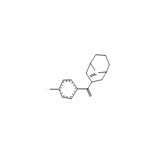 O=C(c1ccc(Br)cc1)C1CC2CCCC(C1)S2(=O)=O